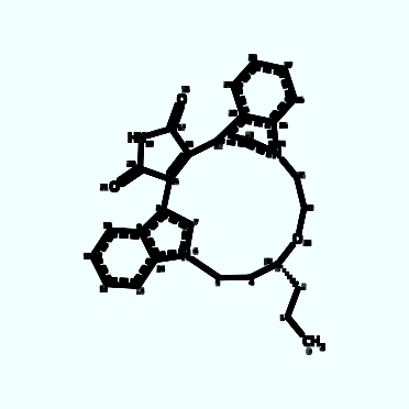 CCC[C@@H]1CCn2cc(c3ccccc32)C2=C(C(=O)NC2=O)c2cn(c3ccccc23)CCO1